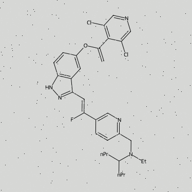 C=C(Oc1ccc2[nH]nc(/C=C(\F)c3ccc(CN(CC)C(CCC)CCC)nc3)c2c1)c1c(Cl)cncc1Cl